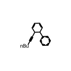 CCCCC#CC1C=CC=CC1c1ccccc1